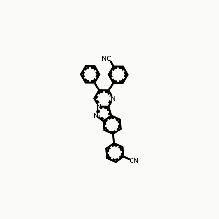 N#Cc1cccc(-c2ccc3c(c2)nn2cc(-c4ccccc4)c(-c4cccc(C#N)c4)nc32)c1